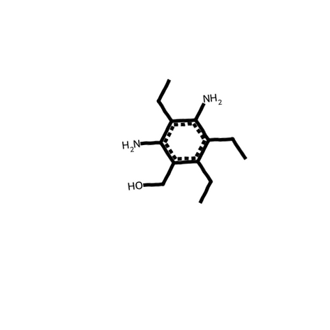 CCc1c(N)c(CC)c(CC)c(CO)c1N